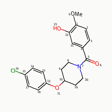 COc1ccc(C(=O)N2CCC(Oc3ccc(Cl)cc3)CC2)cc1O